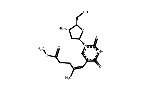 COC(=O)CCC(C)=Cc1cn([C@H]2C[C@H](O)[C@@H](CO)O2)c(=O)[nH]c1=O